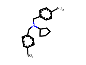 O=[N+]([O-])c1ccc(CN(Cc2ccc([N+](=O)[O-])cc2)C2CCCC2)cc1